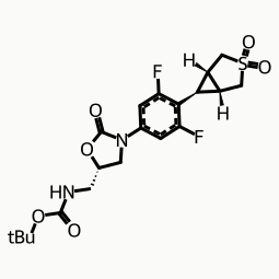 CC(C)(C)OC(=O)NC[C@H]1CN(c2cc(F)c([C@H]3[C@@H]4CS(=O)(=O)C[C@@H]43)c(F)c2)C(=O)O1